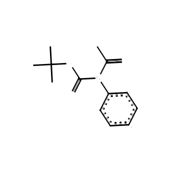 CC(=O)N(C(=O)OC(C)(C)C)c1ccccc1